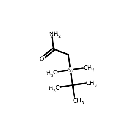 CC(C)(C)[Si](C)(C)CC(N)=O